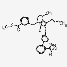 CCCCc1c(Cc2ccc(-c3ccccc3-c3nnn[nH]3)cc2)c(=O)n2n1C(C)CCC2Cc1cccc(C(=O)OCC)c1